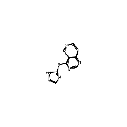 c1cc2ncnc(Sc3ncc[nH]3)c2cn1